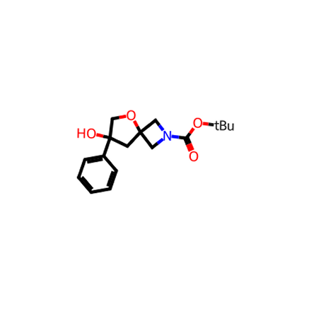 CC(C)(C)OC(=O)N1CC2(C1)CC(O)(c1ccccc1)CO2